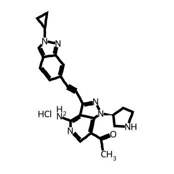 CC(=O)c1cnc(N)c2c(C#Cc3ccc4cn(C5CC5)nc4c3)nn([C@H]3CCNC3)c12.Cl